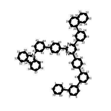 c1ccc(-c2cccc(-c3cccc(-c4ccc(-c5cc(-c6cccc(-c7cccc8ccccc78)c6)nc(-c6ccc(-c7cccc(-n8c9ccccc9c9ccccc98)c7)cc6)n5)cc4)c3)c2)cc1